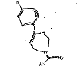 O=C(O)N1CC=C(c2ccc(Br)cc2)CC1